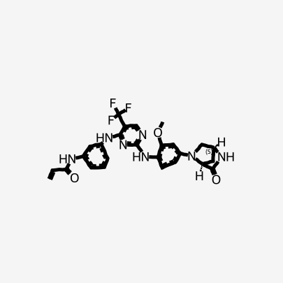 C=CC(=O)Nc1cccc(Nc2nc(Nc3ccc(N4C[C@@H]5C[C@H]4C(=O)N5)cc3OC)ncc2C(F)(F)F)c1